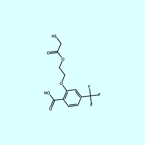 O=C(CS)OCCOc1cc(C(F)(F)F)ccc1C(=O)O